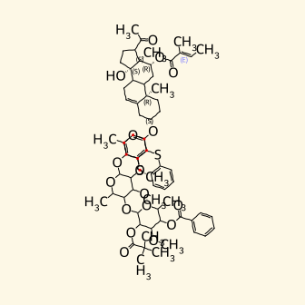 C/C=C(\C)C(=O)O[C@@H]1CC2C(CC=C3C[C@@H](OC4OC(C)C(OC5OC(C)C(OC6OC(C)C(OC(=O)c7ccccc7)C(OC)C6OC(=O)C(C)(C)C)C(OC)C5Sc5ccccc5)C(OC)C4Sc4ccccc4)CC[C@@]32C)[C@@]2(O)CCC(C(C)=O)[C@@]12C